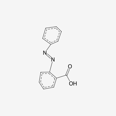 O=C(O)c1ccccc1N=Nc1ccccc1